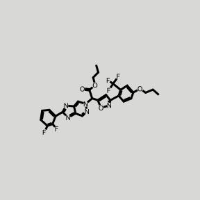 CCCOC(=O)C(c1cc(-c2ccc(OCCC)cc2C(F)(F)F)no1)n1cc2nc(-c3cccc(F)c3F)nc-2cn1